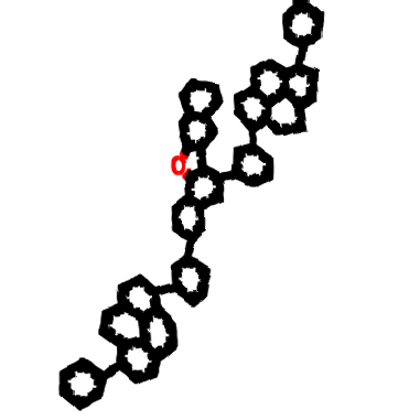 c1ccc(-c2ccc3ccc4c(-c5cccc(-c6ccc7c(c6)cc(-c6cccc(-c8ccc9ccc%10c(-c%11ccccc%11)ccc%11ccc8c9c%11%10)c6)c6c8cc9ccccc9cc8oc76)c5)ccc5ccc2c3c54)cc1